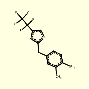 Cc1cc(Cc2nc(C(F)(F)C(F)(F)F)cs2)ccc1N